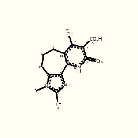 CCc1nc2c(n1C)CCCc1c-2[nH]c(=O)c(C(=O)O)c1O